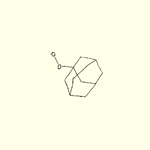 [O]OC12CC3CC(CC(C3)C1)C2